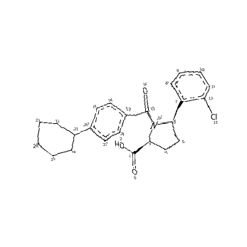 O=C(O)[C@@H]1CC[C@H](c2ccccc2Cl)N1C(=O)c1ccc(C2CCCCC2)cc1